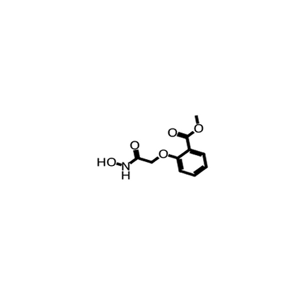 COC(=O)c1ccccc1OCC(=O)NO